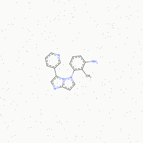 Cc1c(N)cccc1-n1ccc2ncc(-c3cccnc3)n21